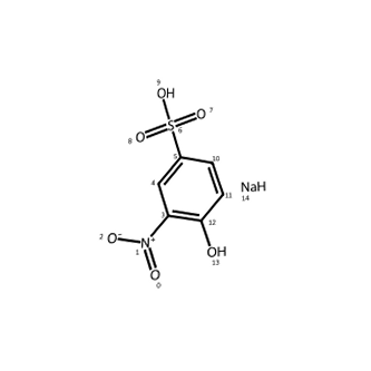 O=[N+]([O-])c1cc(S(=O)(=O)O)ccc1O.[NaH]